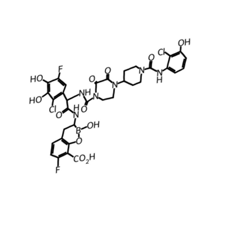 O=C(O)c1c(F)ccc2c1OB(O)C(NC(=O)C(NC(=O)N1CCN(C3CCN(C(=O)Nc4cccc(O)c4Cl)CC3)C(=O)C1=O)c1cc(F)c(O)c(O)c1Cl)C2